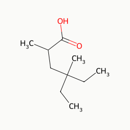 CCC(C)(CC)CC(C)C(=O)O